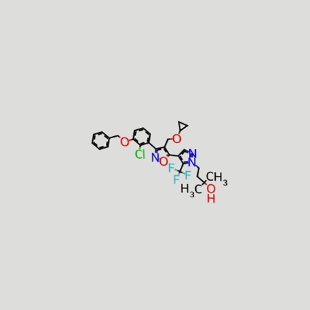 CC(C)(O)CCn1ncc(-c2onc(-c3cccc(OCc4ccccc4)c3Cl)c2COC2CC2)c1C(F)(F)F